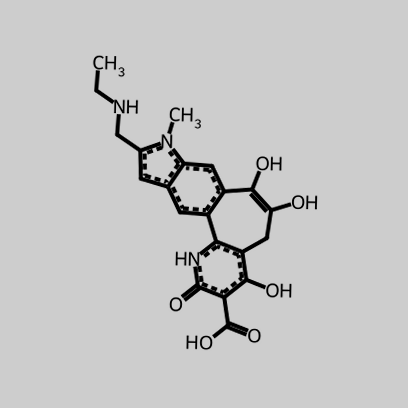 CCNCc1cc2cc3c(cc2n1C)C(O)=C(O)Cc1c-3[nH]c(=O)c(C(=O)O)c1O